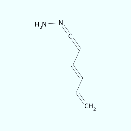 C=CC=CC=C=NN